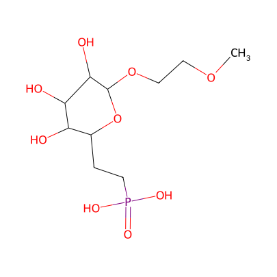 COCCOC1OC(CCP(=O)(O)O)C(O)C(O)C1O